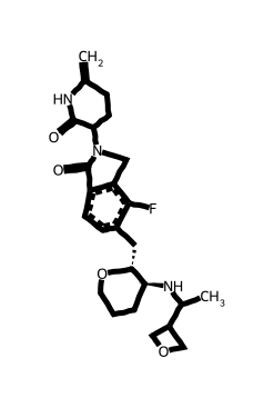 C=C1CCC(N2Cc3c(ccc(C[C@H]4OCCC[C@@H]4NC(C)C4COC4)c3F)C2=O)C(=O)N1